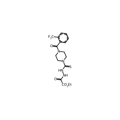 CCOC(=O)C(=O)NNC(=S)N1CCN(C(=O)c2ccccc2C(F)(F)F)CC1